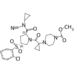 COC(=O)N1CCN(C2(C(=O)N3C[C@H](S(=O)(=O)c4ccccc4Cl)C[C@H]3C(=O)N(C#N)C3CC3)CC2)CC1